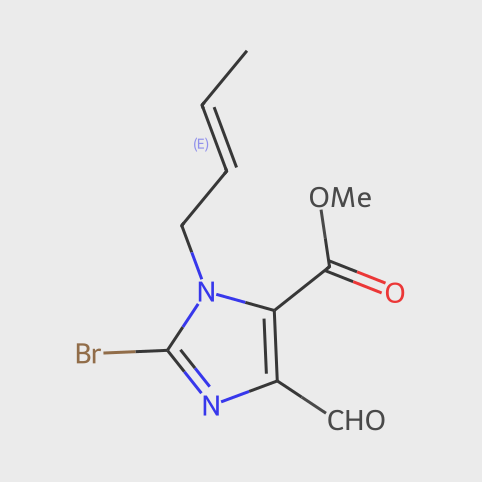 C/C=C/Cn1c(Br)nc(C=O)c1C(=O)OC